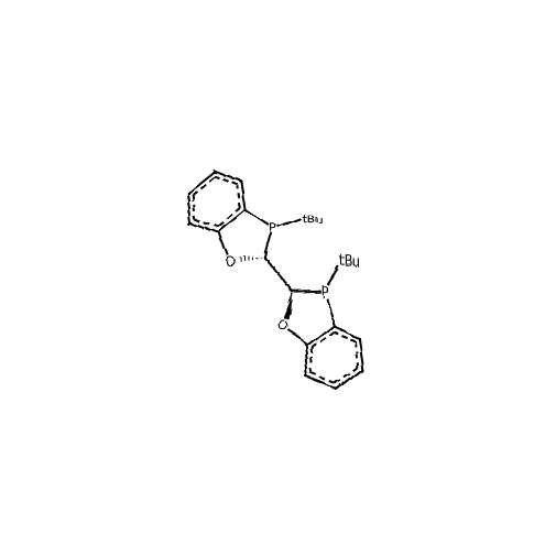 CC(C)(C)P1c2ccccc2O[C@H]1[C@@H]1Oc2ccccc2P1C(C)(C)C